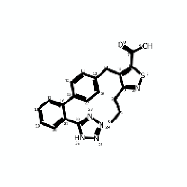 CCCc1nsc(C(=O)O)c1Cc1ccc(-c2ccccc2-c2nnn[nH]2)cc1